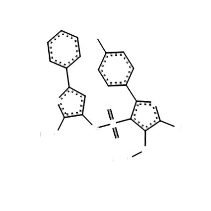 CCOC(=O)Oc1c(C)oc(-c2ccc(Cl)cc2)c1S(=O)(=O)Nc1cc(-c2ccccc2)sc1C(=O)O